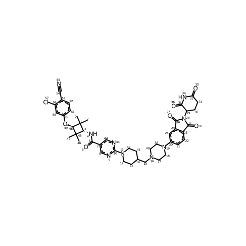 CC1(C)[C@H](NC(=O)c2cnc(N3CCC(CN4CCN(c5ccc6c(c5)C(=O)N(C5CCC(=O)NC5=O)C6=O)CC4)CC3)nc2)C(C)(C)[C@H]1Oc1ccc(C#N)c(Cl)c1